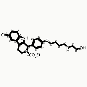 CCOC(=O)N1CCc2c([nH]c3ccc(Cl)cc23)C1c1ccc(OCCCCNCCO)cc1